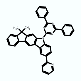 CC1(C)c2ccccc2-c2cc3c4cc(-c5ccccn5)ccc4n(-c4nc(-c5ccccc5)nc(-c5ccccc5)n4)c3cc21